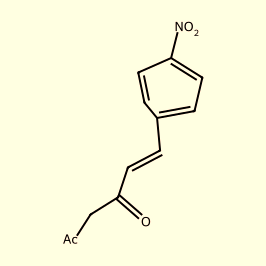 CC(=O)CC(=O)C=Cc1ccc([N+](=O)[O-])cc1